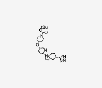 CC(C)(C)OC(=O)N1CCC(Oc2ccc(-n3ccc4cc(-n5cnnn5)ccc43)nc2)CC1